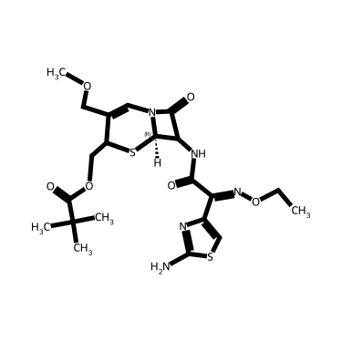 CCON=C(C(=O)NC1C(=O)N2C=C(COC)C(COC(=O)C(C)(C)C)S[C@H]12)c1csc(N)n1